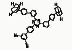 N#Cc1cc(C#N)cc(-c2ccc(-c3nc(-c4cccc(-c5ccc(C67CC8C[C@H](C6)C[C@@H](C8)C7)cc5)c4)nc(-c4cccc(-c5ccc(C67C[C@H]8C[C@@H](C6)C[C@@H](C7)C8)cc5)c4)n3)cc2)c1